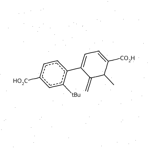 C=C1C(c2ccc(C(=O)O)cc2C(C)(C)C)=CC=C(C(=O)O)C1C